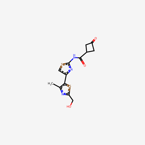 Cc1nc(CO)sc1-c1csc(NC(=O)C2CC(=O)C2)n1